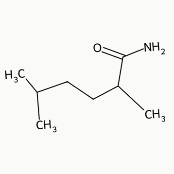 CC(C)CCC(C)C(N)=O